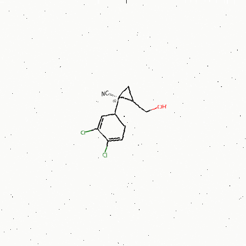 N#C[C@]1(C2C=C(Cl)C(Cl)=CC2)CC1CO